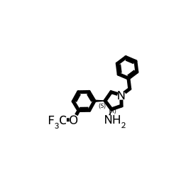 N[C@H]1CN(Cc2ccccc2)C[C@@H]1c1cccc(OC(F)(F)F)c1